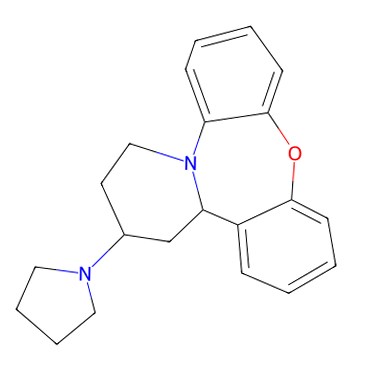 c1ccc2c(c1)Oc1ccccc1N1CCC(N3CCCC3)CC21